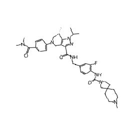 CC(C)n1nc(C(=O)NCc2ccc(NC(=O)N3CCC4(CCN(C)CC4)C3)c(F)c2)c2c1[C@@H](C)CN(c1ccc(C(=O)N(C)C)cc1)C2